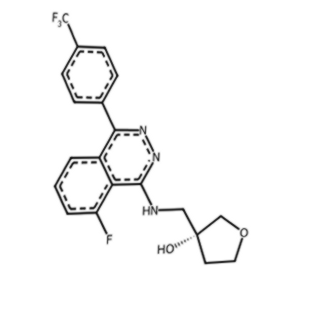 O[C@@]1(CNc2nnc(-c3ccc(C(F)(F)F)cc3)c3cccc(F)c23)CCOC1